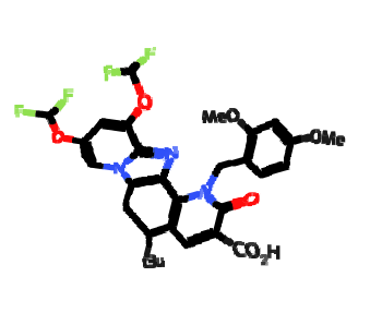 COc1ccc(Cn2c3c(cc(C(=O)O)c2=O)C(C(C)(C)C)Cc2c-3nc3c(OC(F)F)cc(OC(F)F)cn23)c(OC)c1